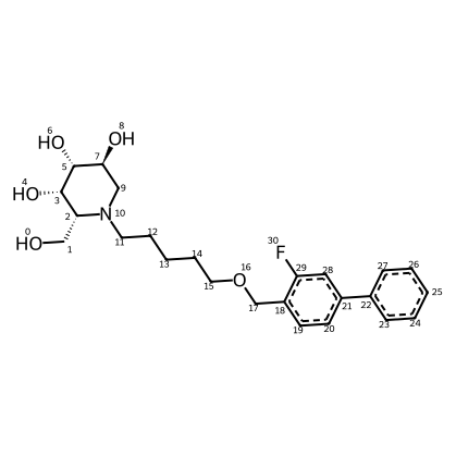 OC[C@@H]1[C@H](O)[C@H](O)[C@@H](O)CN1CCCCCOCc1ccc(-c2ccccc2)cc1F